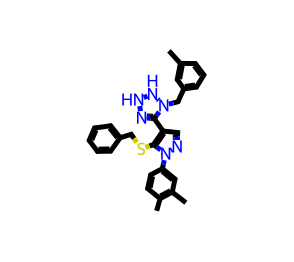 Cc1cccc(CN2NNN=C2c2cnn(-c3ccc(C)c(C)c3)c2SCc2ccccc2)c1